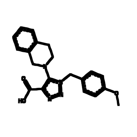 COc1ccc(Cn2nnc(C(=O)O)c2N2CCc3ccccc3C2)cc1